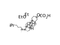 CC(C)CCC[C@@H](C)[C@H]1CC[C@H]2[C@@H]3CC=C4C[C@@H](OC(=O)O)CC[C@]4(C)[C@H]3CC[C@]12C.CCOCC